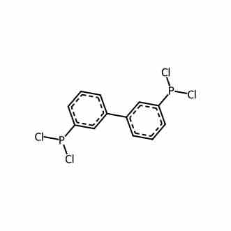 ClP(Cl)c1cccc(-c2cccc(P(Cl)Cl)c2)c1